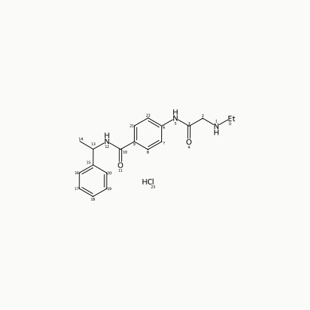 CCNCC(=O)Nc1ccc(C(=O)NC(C)c2ccccc2)cc1.Cl